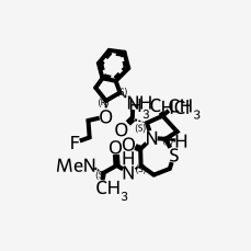 CN[C@@H](C)C(=O)N[C@H]1CCS[C@H]2CC(C)(C)[C@@H](C(=O)N[C@H]3c4ccccc4C[C@H]3OCCF)N2C1=O.Cl